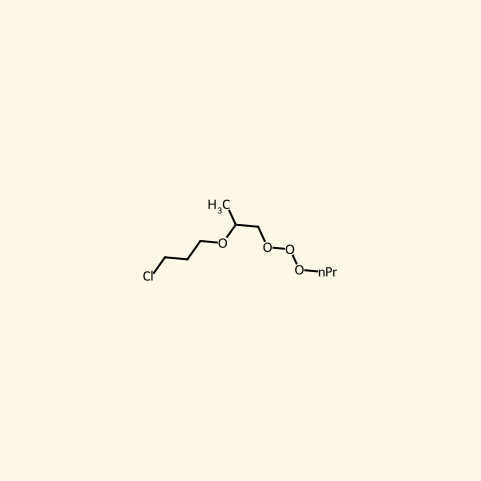 CCCOOOCC(C)OCCCCl